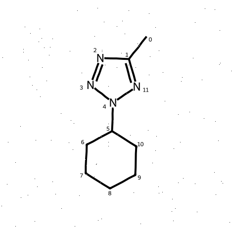 Cc1nnn(C2CCCCC2)n1